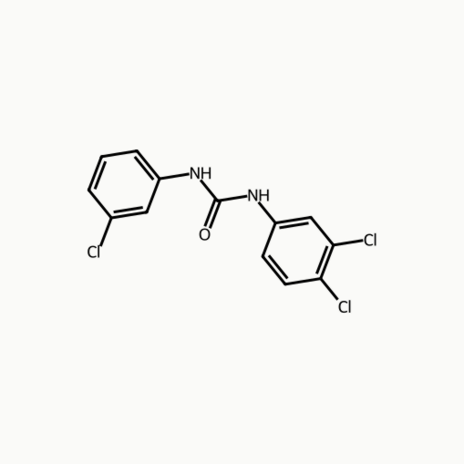 O=C(Nc1cccc(Cl)c1)Nc1ccc(Cl)c(Cl)c1